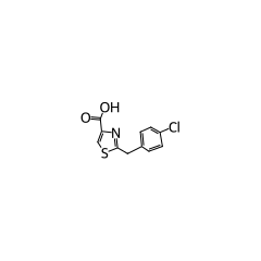 O=C(O)c1csc(Cc2ccc(Cl)cc2)n1